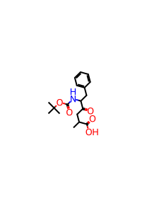 CC(CC(=O)C(Cc1ccccc1)NC(=O)OC(C)(C)C)C(=O)O